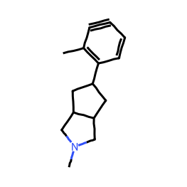 Cc1c#cccc1C1CC2CN(C)CC2C1